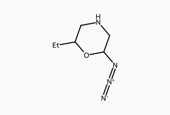 CCC1CNCC(N=[N+]=[N-])O1